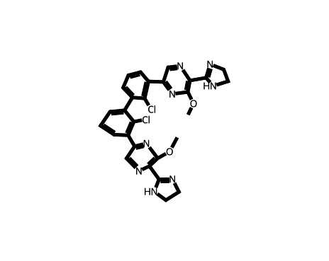 COc1nc(-c2cccc(-c3cccc(-c4cnc(C5=NCCN5)c(OC)n4)c3Cl)c2Cl)cnc1C1=NCCN1